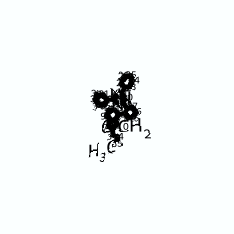 C=c1/c(=C\C=C/C)oc2cccc(-c3ccccc3-c3nc(-c4ccccc4)nc(-c4ccccc4)n3)c12